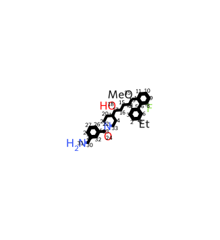 CCc1cccc(-c2c(F)cccc2C(CCCC(O)C2CCN(C(=O)c3cccc(CN)c3)CC2)OC)c1